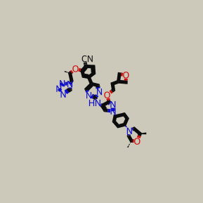 C[C@@H]1CN([C@H]2CC[C@H](n3cc(Nc4ncc(-c5ccc(C#N)c(O[C@@H](C)Cn6cnnn6)c5)cn4)c(OCCC4COC4)n3)CC2)C[C@@H](C)O1